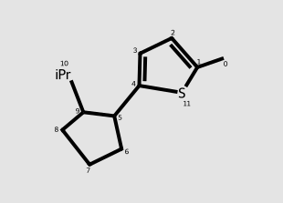 Cc1ccc(C2CCCC2C(C)C)s1